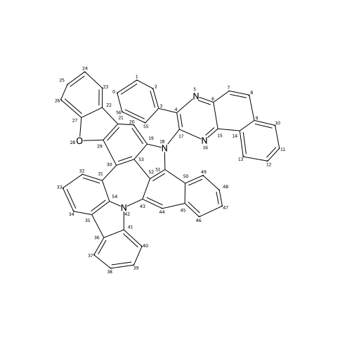 c1ccc(-c2nc3ccc4ccccc4c3nc2-n2c3cc4c5ccccc5oc4c4c5cccc6c7ccccc7n(c7cc8ccccc8c2c7c43)c65)cc1